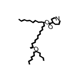 C=C(CCCCCCCCCCC(CCCCCCCCC)OC(=O)C1CCCN(C)CC1)OC(CCCC)CCCCCC